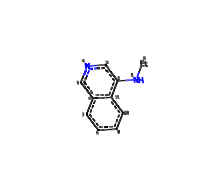 CCNc1cncc2ccccc12